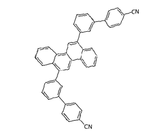 N#Cc1ccc(-c2cccc(-c3cc4c5ccccc5c(-c5cccc(-c6ccc(C#N)cc6)c5)cc4c4ccccc34)c2)cc1